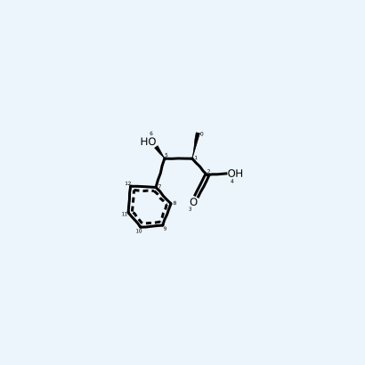 C[C@@H](C(=O)O)[C@H](O)c1ccccc1